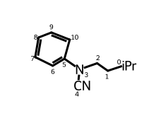 CC(C)CCN(C#N)c1ccccc1